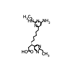 CCNc1nc(N)cc(CCCCCC[C@@H](CC(=O)O)c2cnc(CC)nc2)n1